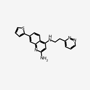 Nc1cc(NCCc2cccnn2)c2ccc(-c3cccs3)cc2n1